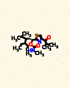 CCC(CC)C(C[C@@H](OC(=O)NC)c1nc(C(=O)C(C)C)cs1)C(C)C